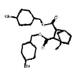 CC(C)(C)C1CCC(COC(=O)C2C3CCC(C)(C3)C2C(=O)OCC2CCC(C(C)(C)C)CC2)CC1